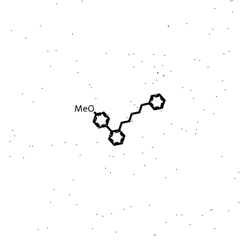 COc1ccc(-c2ccccc2C[CH]CCCc2ccccc2)cc1